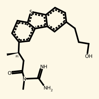 C[C@H](CC(=O)N(C)C(=N)N)c1ccc2sc3ccc(CCCO)cc3c2c1